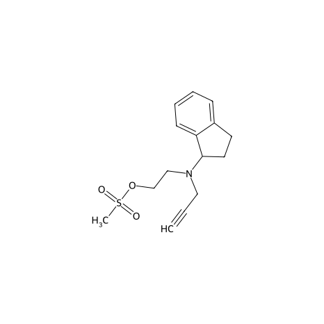 C#CCN(CCOS(C)(=O)=O)C1CCc2ccccc21